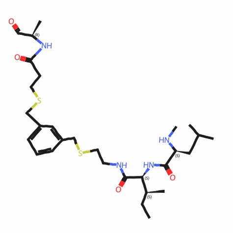 CC[C@H](C)[C@H](NC(=O)[C@H](CC(C)C)NC)C(=O)NCCSCc1cccc(CSCCC(=O)N[C@H](C)C=O)c1